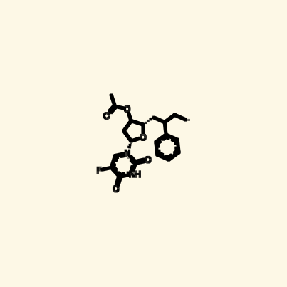 [CH2]CC(C[C@@H]1O[C@H](n2cc(F)c(=O)[nH]c2=O)CC1OC(C)=O)c1ccccc1